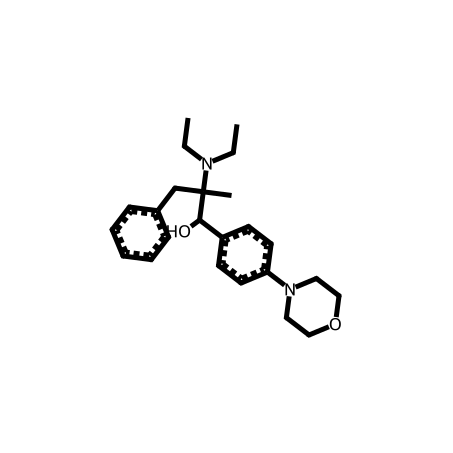 CCN(CC)C(C)(Cc1ccccc1)C(O)c1ccc(N2CCOCC2)cc1